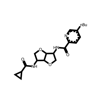 CCCCc1ccc(C(=O)NC2COC3C(NC(=O)C4CC4)COC23)nc1